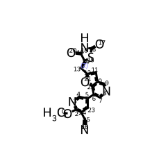 COc1ncc(-c2cncc3cc(/C=C4\SC(=O)NC4=O)oc23)cc1C#N